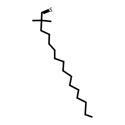 CCCCCCCCCCCCCCC(C)(C)C=S